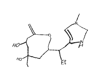 C=C1OC(C(CC)C2=CN(C)CN2)CC(C)(O)C1O